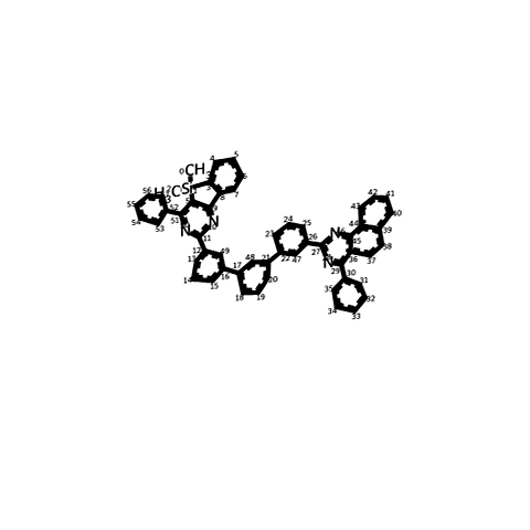 C[Si]1(C)c2ccccc2-c2nc(-c3cccc(-c4cccc(-c5cccc(-c6nc(-c7ccccc7)c7ccc8ccccc8c7n6)c5)c4)c3)nc(-c3ccccc3)c21